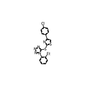 CCc1ccccc1-n1nnnc1Sc1nc(-c2ccc(Cl)cc2)cs1